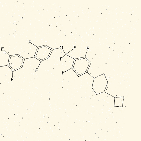 Fc1cc(-c2c(F)cc(OC(F)(F)c3c(F)cc(C4CCC(C5CCC5)CC4)cc3F)cc2F)cc(F)c1F